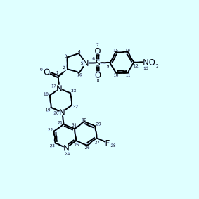 O=C([C@H]1CCN(S(=O)(=O)c2ccc([N+](=O)[O-])cc2)C1)N1CCN(c2ccnc3cc(F)ccc23)CC1